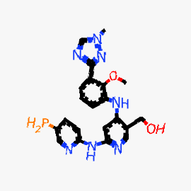 COc1c(Nc2cc(Nc3ccc(P)cn3)ncc2CO)cccc1-c1ncn(C)n1